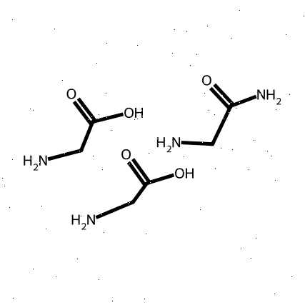 NCC(=O)O.NCC(=O)O.NCC(N)=O